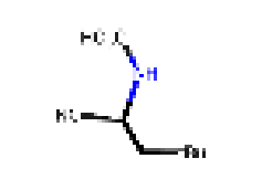 CC(C)(C)C[C@@H](C#N)NC(=O)O